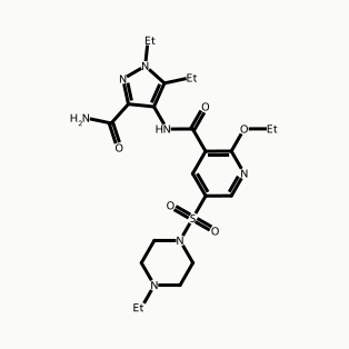 CCOc1ncc(S(=O)(=O)N2CCN(CC)CC2)cc1C(=O)Nc1c(C(N)=O)nn(CC)c1CC